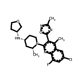 Cc1noc(-c2c(N3CC[C@@H](N[C@@H]4CCOC4)C[C@H]3C)nc3c(F)cc(Cl)cc3c2C)n1